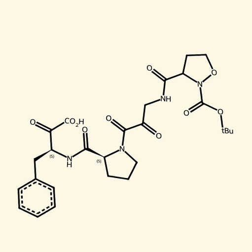 CC(C)(C)OC(=O)N1OCCC1C(=O)NCC(=O)C(=O)N1CCC[C@H]1C(=O)N[C@@H](Cc1ccccc1)C(=O)C(=O)O